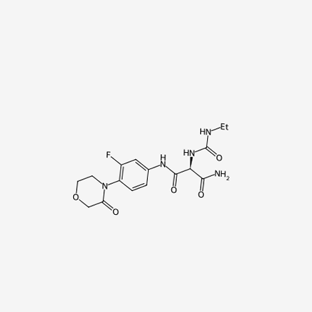 CCNC(=O)N[C@@H](C(N)=O)C(=O)Nc1ccc(N2CCOCC2=O)c(F)c1